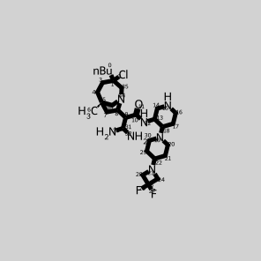 CCCCC1(Cl)CC[C@]2(C)CC(C(C(=O)NC3CNCCC3N3CCC(N4CC(F)(F)C4)CC3)C(N)N)N(C1)C2